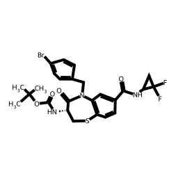 CC(C)(C)OC(=O)N[C@H]1CSc2ccc(C(=O)NC3CC3(F)F)cc2N(Cc2ccc(Br)cc2)C1=O